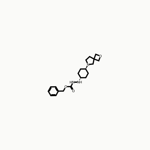 O=C(NN[C@H]1CC[C@H](N2CCC3(COC3)C2)CC1)OCc1ccccc1